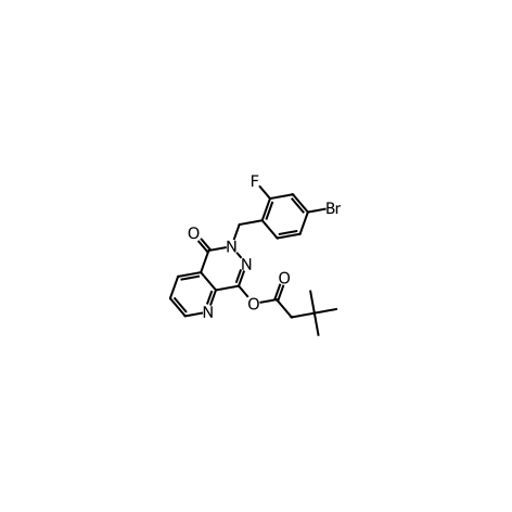 CC(C)(C)CC(=O)Oc1nn(Cc2ccc(Br)cc2F)c(=O)c2cccnc12